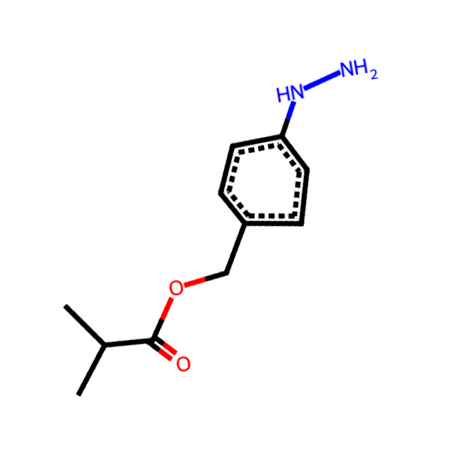 CC(C)C(=O)OCc1ccc(NN)cc1